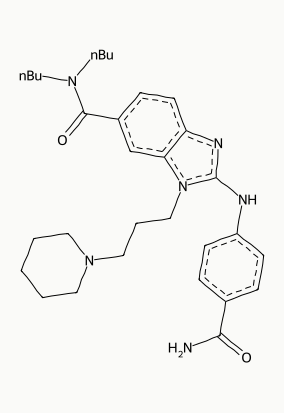 CCCCN(CCCC)C(=O)c1ccc2nc(Nc3ccc(C(N)=O)cc3)n(CCCN3CCCCC3)c2c1